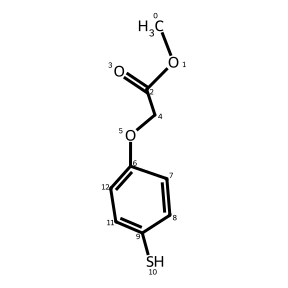 COC(=O)COc1ccc(S)cc1